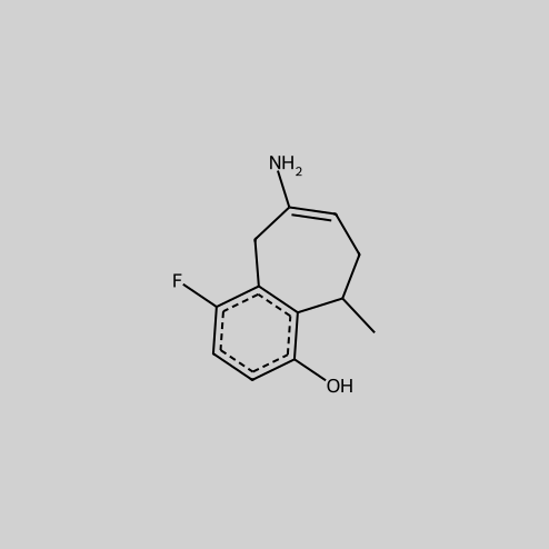 CC1CC=C(N)Cc2c(F)ccc(O)c21